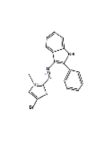 C[n+]1cc(Br)sc1/N=N/c1c(-c2ccccc2)[nH]c2ccccc12